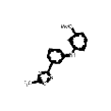 COc1cccc(Nc2[c]ccc(-c3noc(C(F)(F)F)n3)c2)c1